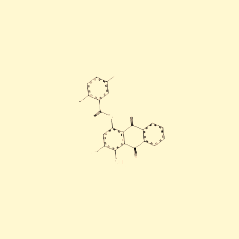 Nc1c(Cl)cc(NC(=O)c2cc(Cl)ccc2Cl)c2c1C(=O)c1ccccc1C2=O